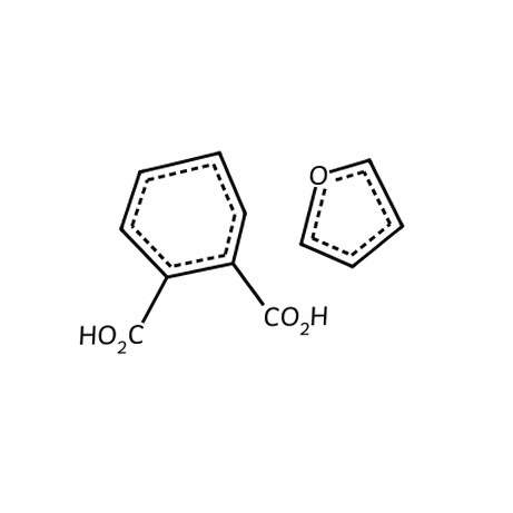 O=C(O)c1ccccc1C(=O)O.c1ccoc1